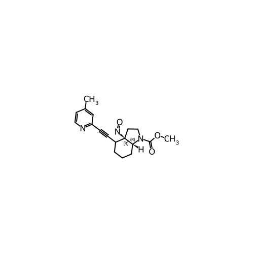 COC(=O)N1CC[C@@]2(N=O)C(C#Cc3cc(C)ccn3)CCC[C@@H]12